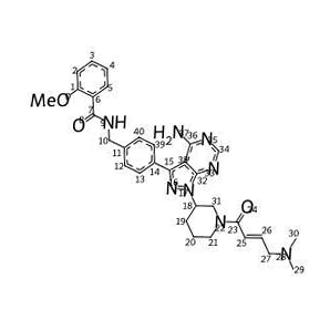 COc1ccccc1C(=O)NCc1ccc(-c2nn(C3CCCN(C(=O)/C=C/CN(C)C)C3)c3ncnc(N)c23)cc1